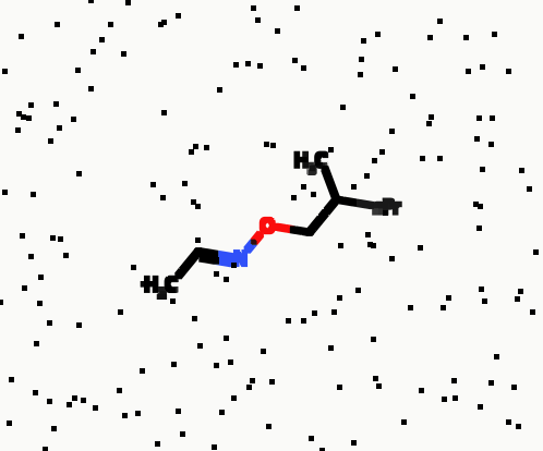 [CH2]C=NOCC(C)CCC